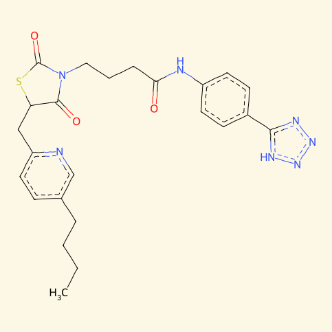 CCCCc1ccc(CC2SC(=O)N(CCCC(=O)Nc3ccc(-c4nnn[nH]4)cc3)C2=O)nc1